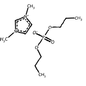 CCCOP(=O)([O-])OCCC.Cn1cc[n+](C)c1